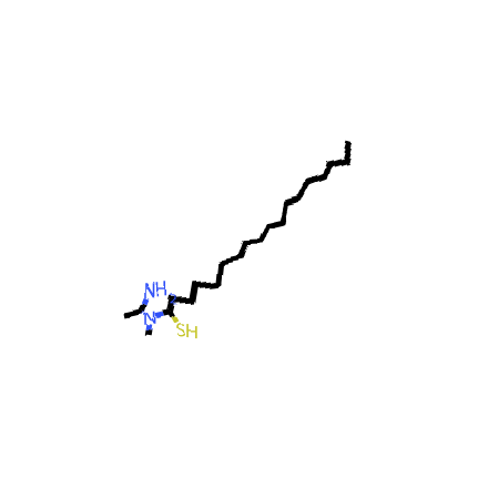 CCCCCCCCCCCCCCCCCC(S)N(C)C(C)N